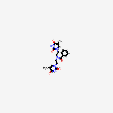 Cc1cn(CCN(CCn2cc(C)c(=O)[nH]c2=O)C(=O)c2ccccc2)c(=O)[nH]c1=O